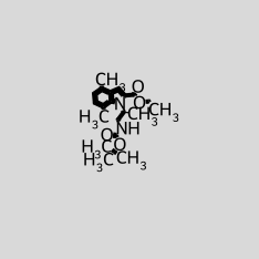 CCOC(=O)c1cc2c(C)ccc(C)c2n1[C@H](C)CNC(=O)OC(C)(C)C